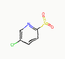 O=[SH](=O)c1ccc(Cl)cn1